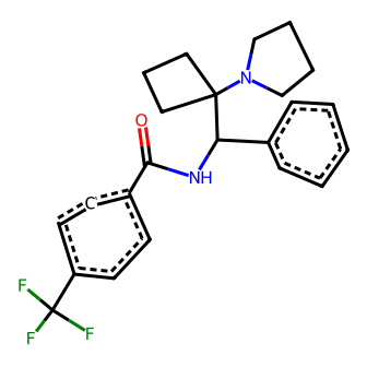 O=C(NC(c1ccccc1)C1(N2CCCC2)CCC1)c1ccc(C(F)(F)F)cc1